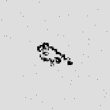 CC(C)(C)OC(=O)N1CC[C@@H](N(CCCCCc2ccc3c(n2)N(C(=O)OC(C)(C)C)CCC3)CCOC2CC2)C1